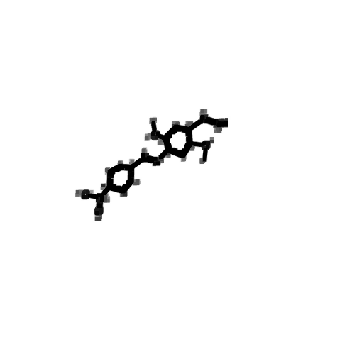 COc1cc(/N=N/c2ccc([N+](=O)[O-])cc2)c(OC)cc1N=N